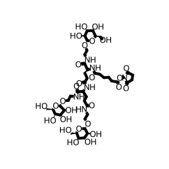 O=C(CCC(NC(=O)CC[C@H](NC(=O)CCCCC(=O)ON1C(=O)CCC1=O)C(=O)NCCO[C@H]1O[C@H](CO)[C@@H](O)[C@H](O)[C@@H]1O)C(=O)NCCO[C@H]1O[C@H](CO)[C@@H](O)[C@H](O)[C@@H]1O)NCCO[C@H]1O[C@H](CO)[C@@H](O)[C@H](O)[C@@H]1O